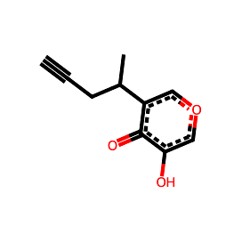 C#CCC(C)c1cocc(O)c1=O